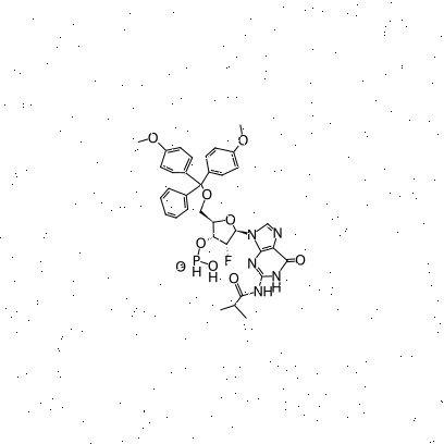 COc1ccc(C(OC[C@H]2O[C@@H](n3cnc4c(=O)[nH]c(NC(=O)C(C)C)nc43)[C@H](F)[C@@H]2O[PH](=O)O)(c2ccccc2)c2ccc(OC)cc2)cc1